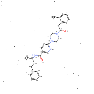 Cc1ccccc1CC(=O)N1CCN(c2ccc(C(=O)NC(C)CCc3ccccc3)cn2)CC1